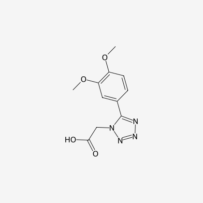 COc1ccc(-c2nnnn2CC(=O)O)cc1OC